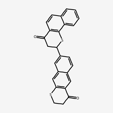 O=C1CCSc2cc3cc(C4CC(=O)c5ccc6ccccc6c5S4)ccc3cc21